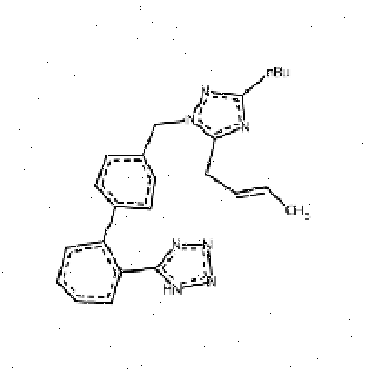 C/C=C/Cc1nc(CCCC)nn1Cc1ccc(-c2ccccc2-c2nnn[nH]2)cc1